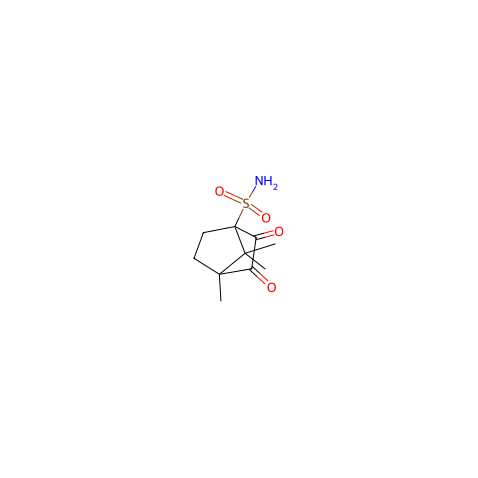 CC12CCC(S(N)(=O)=O)(C(=O)C1=O)C2(C)C